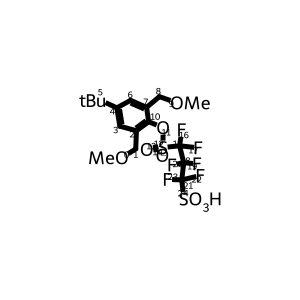 COCc1cc(C(C)(C)C)cc(COC)c1OS(=O)(=O)C(F)(F)C(F)(F)C(F)(F)S(=O)(=O)O